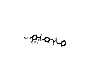 COc1ccc(C(=O)Nc2ccc(CC(=O)NCc3ccccc3)cc2)cc1OC